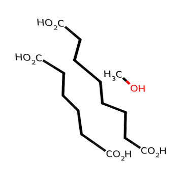 CO.O=C(O)CCCCC(=O)O.O=C(O)CCCCCCC(=O)O